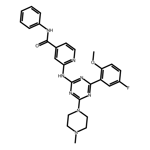 COc1ccc(F)cc1-c1nc(Nc2cc(C(=O)Nc3ccccc3)ccn2)nc(N2CCN(C)CC2)n1